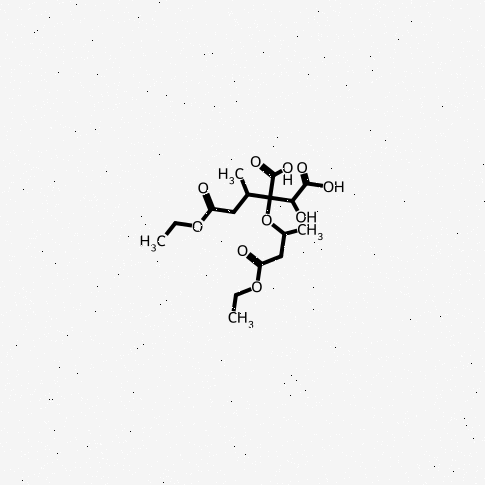 CCOC(=O)CC(C)OC(C(=O)O)(C(C)CC(=O)OCC)C(O)C(=O)O